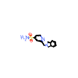 NS(=O)(=O)c1ccnc(CN2Cc3ccccc3C2)c1